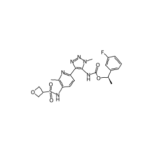 Cc1nc(-c2nnn(C)c2NC(=O)O[C@H](C)c2cccc(F)c2)ccc1NS(=O)(=O)C1COC1